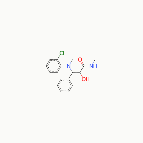 CNC(=O)C(O)C(c1ccccc1)N(C)c1ccccc1Cl